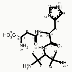 CC(C)(N)C(NC(=O)[C@H](Cc1c[nH]cn1)NC(=O)C[C@H](N)C(=O)O)C(C)(C)N